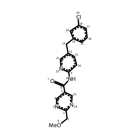 COCc1ncc(C(=O)Nc2ccc(Cc3cccc(Cl)c3)cn2)cn1